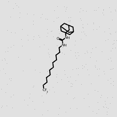 O=C(NCCCCCCCCCCCC(F)(F)F)NC12CC3CC(CC(C3)C1)C2